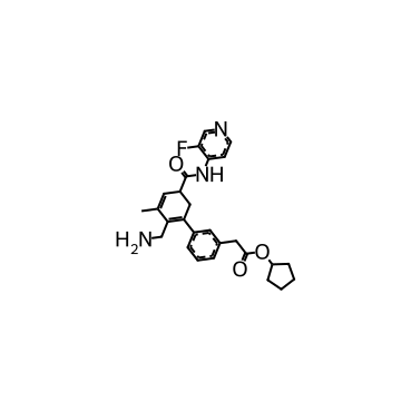 CC1=CC(C(=O)Nc2ccncc2F)CC(c2cccc(CC(=O)OC3CCCC3)c2)=C1CN